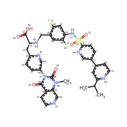 CC(C)c1cc(-c2ccc(S(=O)(=O)Nc3cc(F)c(CN[C@@H](Cc4ccc(-n5c(=O)c6ccncc6n(C)c5=O)cn4)C(=O)O)cc3F)nc2)ccn1